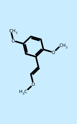 CO/C=C/c1cc(OC)ccc1OC